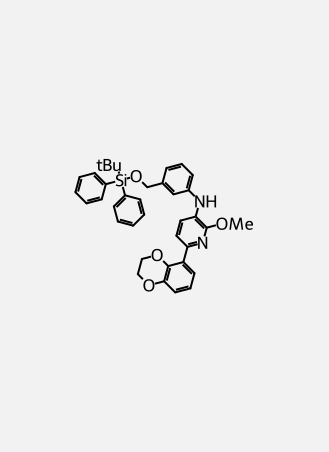 COc1nc(-c2cccc3c2OCCO3)ccc1Nc1cccc(CO[Si](c2ccccc2)(c2ccccc2)C(C)(C)C)c1